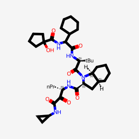 CCC[C@H](NC(=O)[C@@H]1C[C@@H]2CCCC[C@@H]2N1C(=O)[C@@H](NC(=O)C(NC(=O)C1(O)CCCC1)C1CCCCC1)C(C)(C)C)C(=O)C(=O)NC1CC1